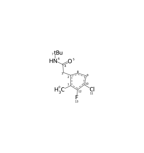 Cc1c(CC(=O)NC(C)(C)C)ccc(Cl)c1F